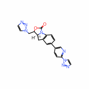 O=C1OC(Cn2ccnn2)[C@@H]2Cc3cc(-c4ccc(-n5ccnn5)nc4)ccc3N12